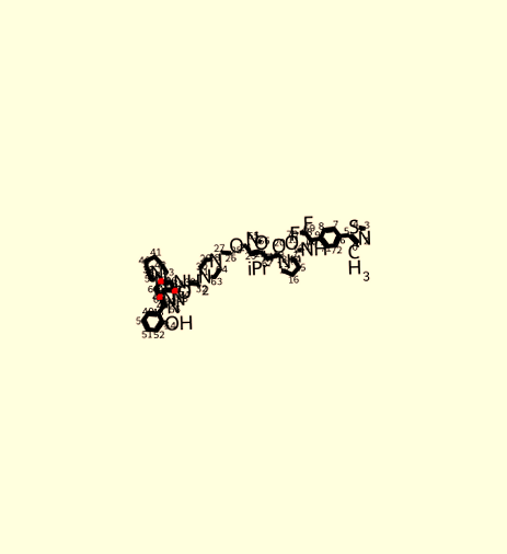 Cc1ncsc1-c1ccc([C@@H](NC(=O)[C@@H]2CCCN2C(=O)[C@@H](c2cc(OCCN3CCN(CCOc4cc(N5C6CCC5CN(c5cc(-c7ccccc7O)nnc5N)C6)ccn4)CC3)no2)C(C)C)C(F)F)cc1